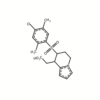 Cc1cc(S(=O)(=O)C2CCn3cccc3C2CC(=O)O)c(C)cc1Cl